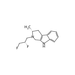 C[C@@H]1Cc2c([nH]c3ccccc23)CN1C[C@H](F)CF